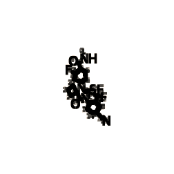 CNC(=O)c1ccc(N2C(=S)N(c3ccc(C#N)cc3C(F)(F)F)C(=O)C23CCC3)cc1F